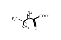 C[C@@H](NC(=O)C(=O)[O-])C(F)(F)F.[Na+]